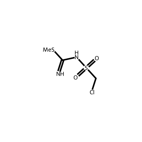 CSC(=N)NS(=O)(=O)CCl